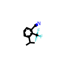 CC(C)c1cccc(C#N)c1C(F)(F)F